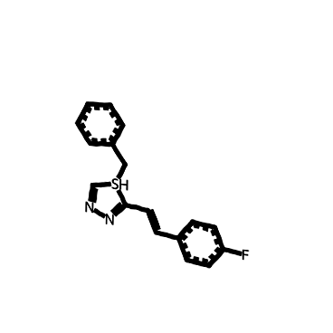 Fc1ccc(/C=C/C2=NN=C[SH]2Cc2ccccc2)cc1